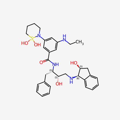 CCNc1cc(C(=O)N[C@@H](Cc2ccccc2)[C@@H](O)CN[C@@H]2c3ccccc3C[C@@H]2O)cc(N2CCCCS2(O)O)c1